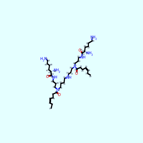 CC/C=C\CCC(=O)N(CCCCNCCCN(CCCNC(=O)[C@@H](N)CCCCN)C(=O)CC/C=C\CC)CCCNC(=O)[C@@H](N)CCCCN